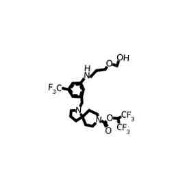 O=C(OC(C(F)(F)F)C(F)(F)F)N1CCC2(CCCN2Cc2cc(NCCCOCO)cc(C(F)(F)F)c2)CC1